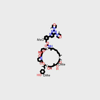 COc1ccc(-c2ccc3c(N4CCOC[C@@H]4C)nc(N4CCOC[C@@H]4C)nc3n2)cc1COC(=O)NC1C[C@@H]2CC[C@@H](C)[C@@](O)(O2)C(=O)C(=O)N2CCCC[C@H]2C(=O)O[C@H]([C@H](C)C[C@@H]2CC[C@@H](O)[C@H](OC)C2)CC(O)[C@H](C)/C=C(\C)[C@@H](O)[C@@H](OC)C(=O)[C@H](C)C[C@H](C)/C=C/C=C/C=C/1C